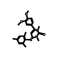 COc1ccc(-c2cc(=Nc3c(C)cc(C)cc3C)n(C)c(=O)n2C)cc1OC